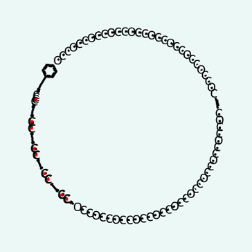 C1=C/COCCOCCOCCOCCOCCOCCOCCOCCOCCOc2ccc(cc2)-c2ccc(cc2)-c2ccc(cc2)-c2ccc(cc2)-c2ccc(cc2)-c2ccc(cc2)OCCOCCOCCOCCOCCOCCOCCOCCOCCOCCOC/1